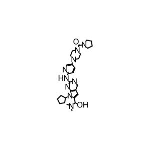 CN(C)C(O)c1cc2cnc(Nc3ccc(N4CCN(C(=O)N5CCCC5)CC4)cn3)nc2n1C1CCCC1